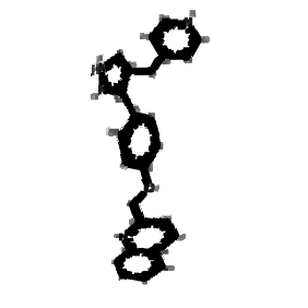 c1ccc2nc(COc3ccc(-c4n[nH]cc4Cc4ccncc4)cc3)ccc2c1